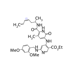 C=C/C=C\CC(C)NC(=O)c1[nH]c(=O)c(Nc2cc(NCc3ccc(OC)cc3OC)ncc2C(=O)OCC)cc1C